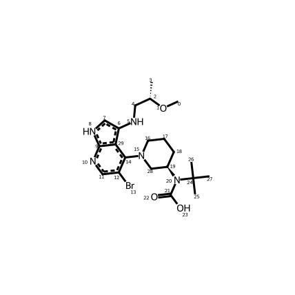 CO[C@@H](C)CNc1c[nH]c2ncc(Br)c(N3CCC[C@@H](N(C(=O)O)C(C)(C)C)C3)c12